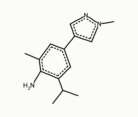 Cc1cc(-c2cnn(C)c2)cc(C(C)C)c1N